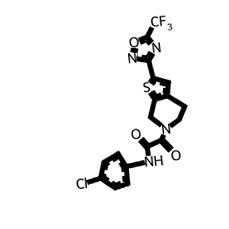 O=C(Nc1ccc(Cl)cc1)C(=O)N1CCc2cc(-c3noc(C(F)(F)F)n3)sc2C1